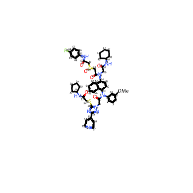 COc1cccc(N(C(=O)Cn2nc(-c3ccncc3)nc2SCC(=O)NC2CCCC2)c2ccc(N(CC(=O)NC3CCCCC3)C(=O)C[S+]([O-])CC(=O)Nc3ccc(F)cc3)c3ccccc23)c1